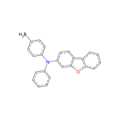 Bc1ccc(N(c2ccccc2)c2ccc3c(c2)oc2ccccc23)cc1